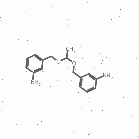 CC(OCc1cccc(N)c1)OCc1cccc(N)c1